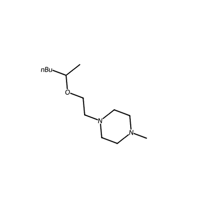 CCCCC(C)OCCN1CCN(C)CC1